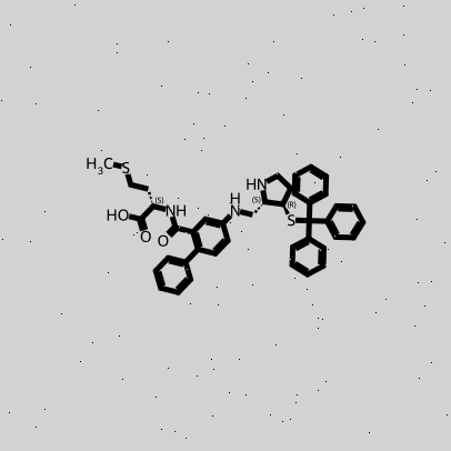 CSCC[C@H](NC(=O)c1cc(NC[C@@H]2NCC[C@H]2SC(c2ccccc2)(c2ccccc2)c2ccccc2)ccc1-c1ccccc1)C(=O)O